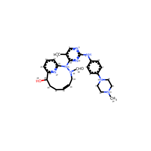 Cc1cnc(Nc2ccc(N3CCN(C)CC3)cc2)nc1N1c2cccc(n2)C(O)CC/C=C\CN1C=O